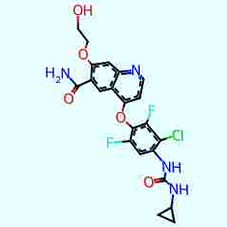 NC(=O)c1cc2c(Oc3c(F)cc(NC(=O)NC4CC4)c(Cl)c3F)ccnc2cc1OCCO